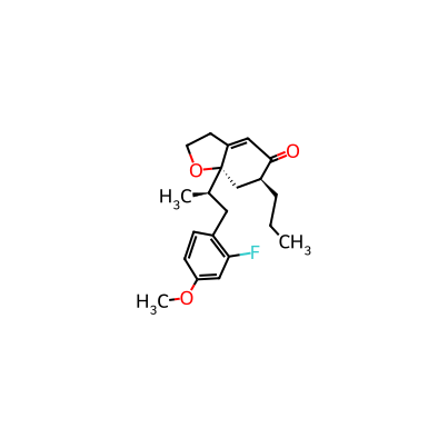 CCC[C@H]1C[C@]2([C@H](C)Cc3ccc(OC)cc3F)OCCC2=CC1=O